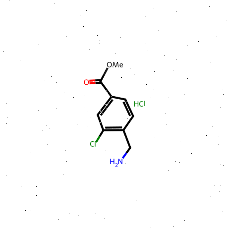 COC(=O)c1ccc(CN)c(Cl)c1.Cl